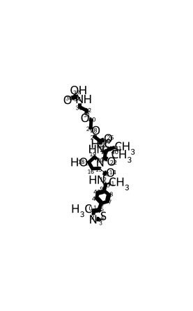 Cc1ncsc1-c1ccc([C@H](C)NC(=O)[C@@H]2C[C@@H](O)CN2C(=O)C(NC(=O)COCCOCCNC(=O)O)C(C)(C)C)cc1